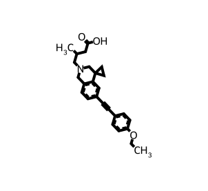 CCOc1ccc(C#Cc2ccc3c(c2)C2(CC2)CN(CC(C)CC(=O)O)C3)cc1